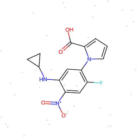 O=C(O)c1cccn1-c1cc(NC2CC2)c([N+](=O)[O-])cc1F